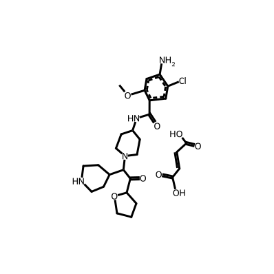 COc1cc(N)c(Cl)cc1C(=O)NC1CCN(C(C(=O)C2CCCO2)C2CCNCC2)CC1.O=C(O)C=CC(=O)O